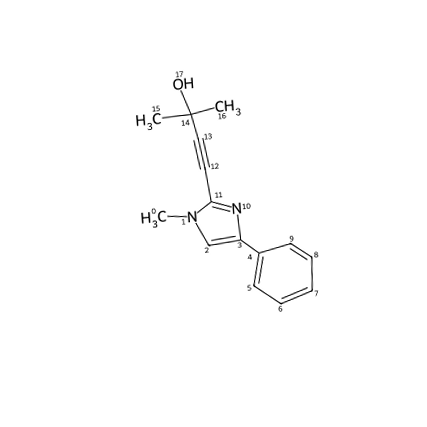 Cn1cc(-c2ccccc2)nc1C#CC(C)(C)O